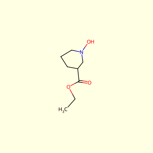 CCOC(=O)C1CCCN(O)C1